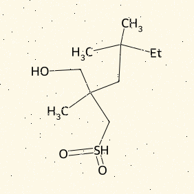 CCC(C)(C)CC(C)(CO)C[SH](=O)=O